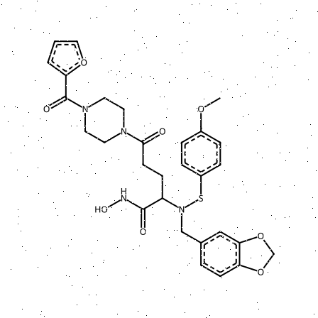 COc1ccc(SN(Cc2ccc3c(c2)OCO3)C(CCC(=O)N2CCN(C(=O)c3ccco3)CC2)C(=O)NO)cc1